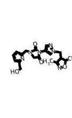 CC1=NOC(C)C1Cn1cc(N2C(=O)CN(Cc3cccc(CO)n3)C2=O)cn1